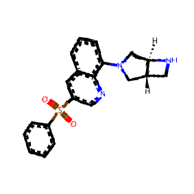 O=S(=O)(c1ccccc1)c1cnc2c(N3C[C@H]4CN[C@@H]4C3)cccc2c1